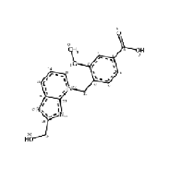 COc1cc(C(=O)O)ccc1Cn1cccc2nc(CO)nc1-2